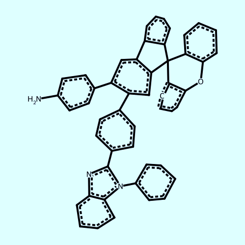 Nc1ccc(-c2cc3c(cc2-c2ccc(-c4nc5ccccc5n4-c4ccccc4)cc2)C2(c4ccccc4Oc4ccccc42)c2ccccc2-3)cc1